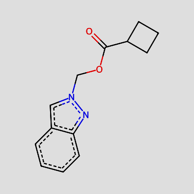 O=C(OCn1cc2ccccc2n1)C1CCC1